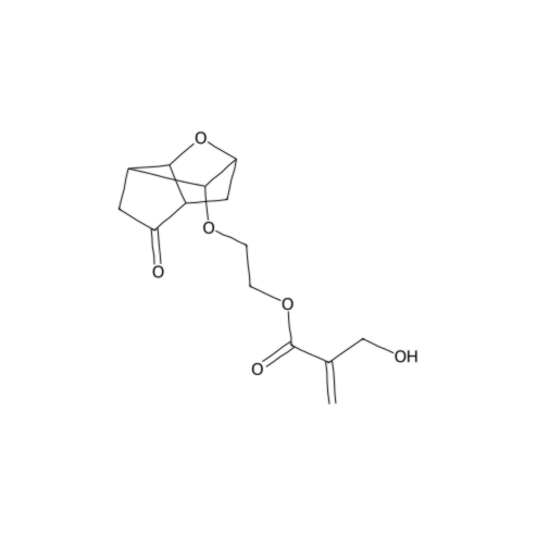 C=C(CO)C(=O)OCCOC1C2CC3C(=O)CC1C3O2